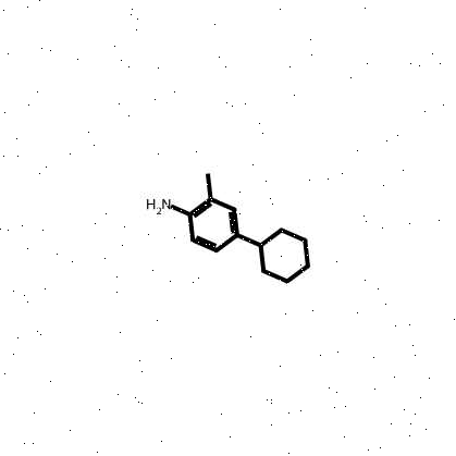 Cc1cc(C2CCCCC2)ccc1N